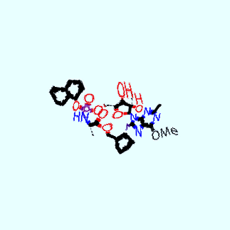 COc1nc(C)nc2c1nc(I)n2C1O[C@H](COP(=O)(N[C@@H](C)C(=O)OCc2ccccc2)Oc2cccc3ccccc23)[C@@H](O)[C@@]1(C)O